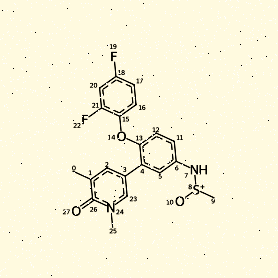 Cc1cc(-c2cc(N[S+](C)[O-])ccc2Oc2ccc(F)cc2F)cn(C)c1=O